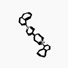 c1ccc2c(-[n+]3ccc(-c4cc[n+](-c5cccc6ccccc56)cc4)cc3)cccc2c1